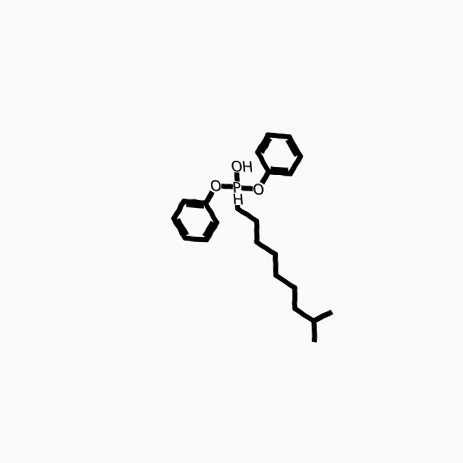 CC(C)CCCCCCC[PH](O)(Oc1ccccc1)Oc1ccccc1